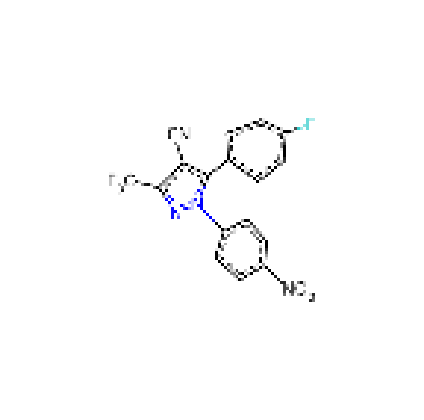 N#Cc1c(C(F)(F)F)nn(-c2ccc([N+](=O)[O-])cc2)c1-c1ccc(F)cc1